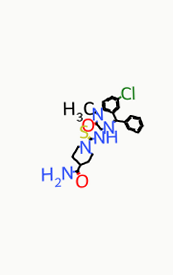 CN1C(=O)C(NC(=S)N2CCC(C(N)=O)CC2)N=C(c2ccccc2)c2cc(Cl)ccc21